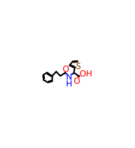 O=C(CCc1ccccc1)NC(C(=O)O)c1cccs1